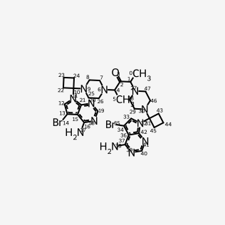 CC(C(=O)C(C)N1CCN(C2(n3cc(Br)c4c(N)ncnc43)CCC2)CC1)N1CCN(C2(n3cc(Br)c4c(N)ncnc43)CCC2)CC1